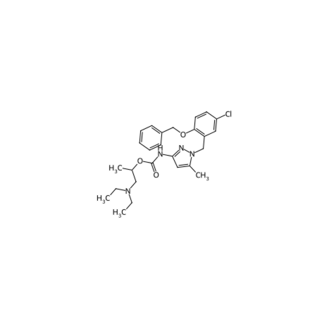 CCN(CC)CC(C)OC(=O)Nc1cc(C)n(Cc2cc(Cl)ccc2OCc2ccccc2)n1